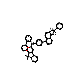 CC1(C)c2ccc(N(c3ccc(-c4cccc5c4ccc4nc(-c6ccccc6)oc45)cc3)c3ccccc3-c3ccccc3)cc2C2C=CC=CC21